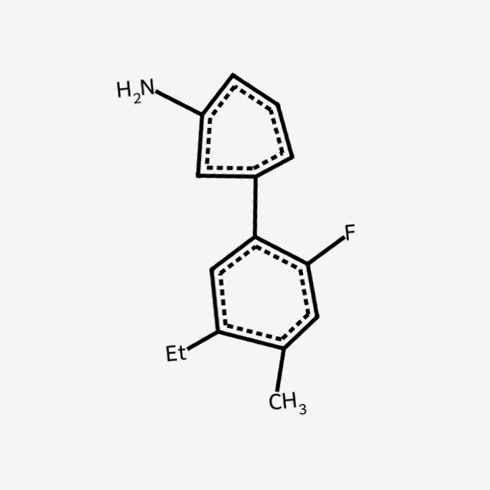 CCc1cc(-c2cccc(N)c2)c(F)cc1C